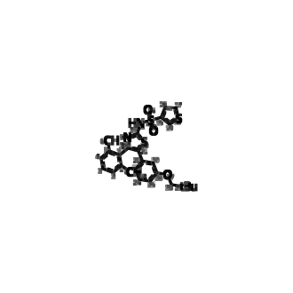 Cc1cccc(C)c1-c1nc(NS(=O)(=O)c2ccsc2)sc1-c1cccc(OCC(C)(C)C)c1